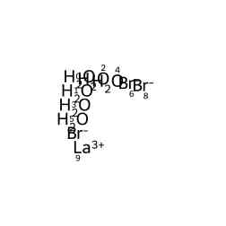 O.O.O.O.O.O.[Br-].[Br-].[Br-].[La+3]